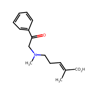 CC(=CCCN(C)CC(=O)c1ccccc1)C(=O)O